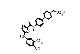 N#Cc1ccc(Nc2nnc(C(=O)Nc3ccc([C@H]4CC[C@H](CC(=O)O)CC4)cc3)o2)cc1C(F)(F)F